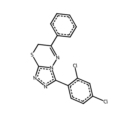 Clc1ccc(-c2nnc3n2N=C(c2ccccc2)CS3)c(Cl)c1